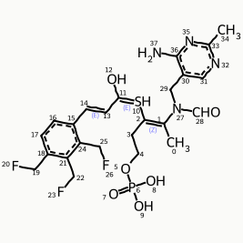 C/C(=C(CCOP(=O)(O)O)/[SH]=C(O)\C=C\c1ccc(CF)c(CF)c1CF)N(C=O)Cc1cnc(C)nc1N